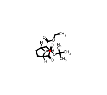 CCOC(=O)[C@@H]1NC(=O)[C@@H]2CC[C@H]1N2C(=O)OC(C)(C)C